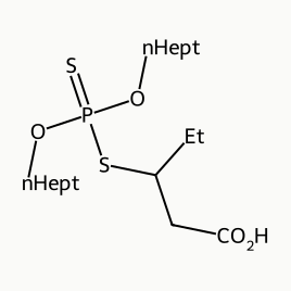 CCCCCCCOP(=S)(OCCCCCCC)SC(CC)CC(=O)O